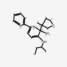 CCC(C)NC1=CC=C(c2ccccn2)NC1(N)C1(C)CCOC1